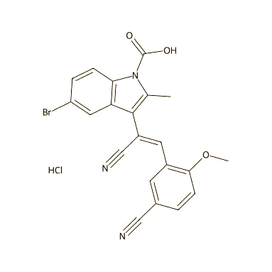 COc1ccc(C#N)cc1/C=C(\C#N)c1c(C)n(C(=O)O)c2ccc(Br)cc12.Cl